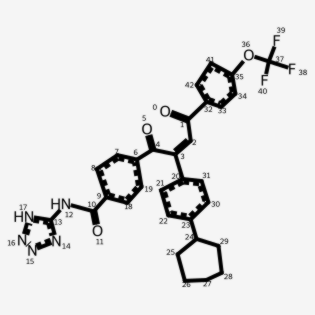 O=C(/C=C(\C(=O)c1ccc(C(=O)Nc2nnn[nH]2)cc1)c1ccc(C2CCCCC2)cc1)c1ccc(OC(F)(F)F)cc1